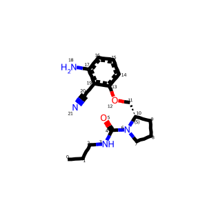 CCCNC(=O)N1CCC[C@H]1COc1cccc(N)c1C#N